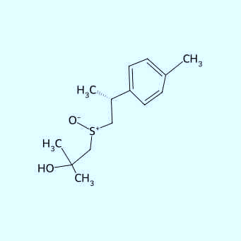 Cc1ccc([C@@H](C)C[S+]([O-])CC(C)(C)O)cc1